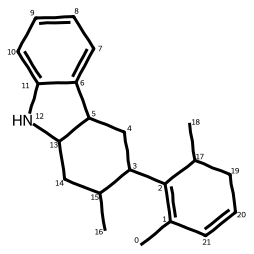 CC1=C(C2CC3c4ccccc4NC3CC2C)C(C)CC=C1